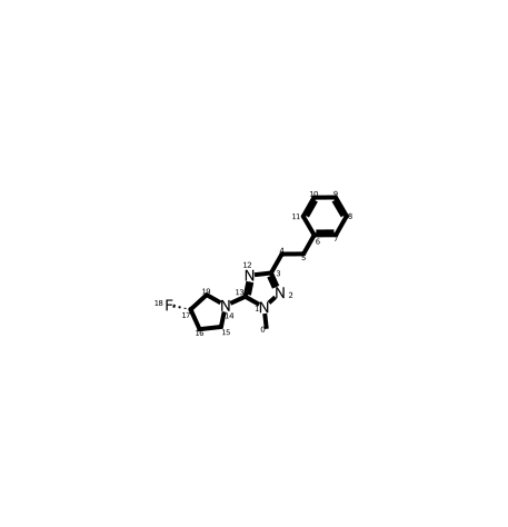 Cn1nc(CCc2ccccc2)nc1N1CC[C@H](F)C1